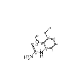 CCc1cccc(NC(N)=S)c1OC